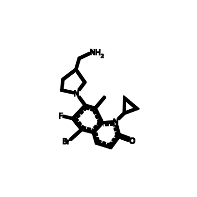 Cc1c(N2CCC(CN)C2)c(F)c(Br)c2ccc(=O)n(C3CC3)c12